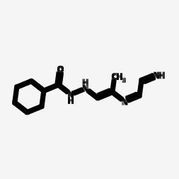 CC(=C\NNC(=O)C1CCCCC1)/N=C\C=N